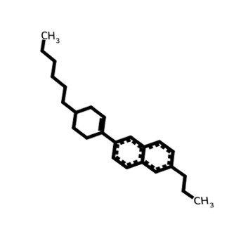 CCCCCCC1CC=C(c2ccc3cc(CCC)ccc3c2)CC1